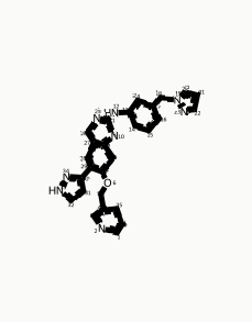 c1cncc(COc2cc3nc(Nc4cccc(Cn5cccn5)c4)ncc3cc2-c2cc[nH]n2)c1